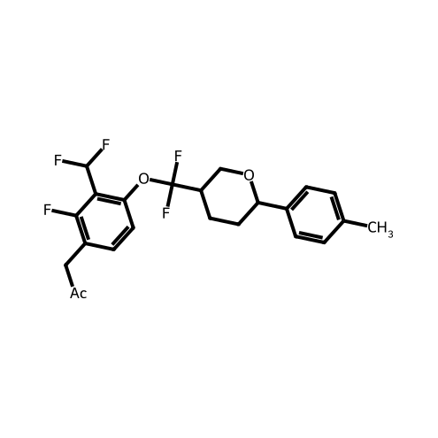 CC(=O)Cc1ccc(OC(F)(F)C2CCC(c3ccc(C)cc3)OC2)c(C(F)F)c1F